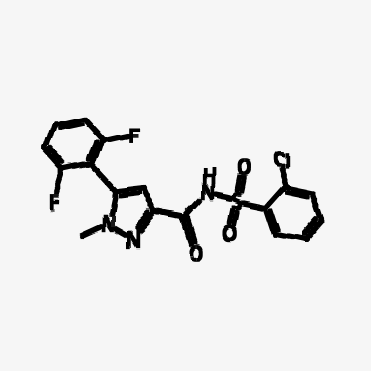 Cn1nc(C(=O)NS(=O)(=O)c2ccccc2Cl)cc1-c1c(F)cccc1F